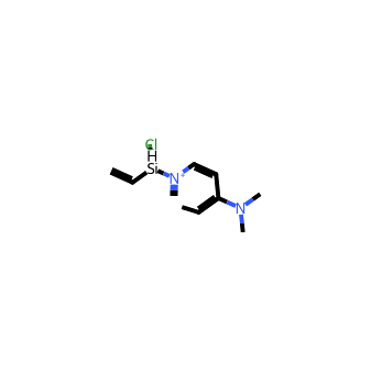 C=C[SiH](Cl)[N+](=C)/C=C\C(=C/C)N(C)C